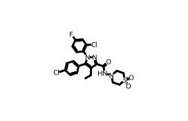 CCc1c(C(=O)NN2CCS(=O)(=O)CC2)nn(-c2ccc(F)cc2Cl)c1-c1ccc(Cl)cc1